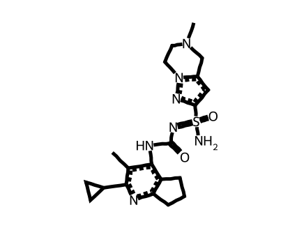 Cc1c(C2CC2)nc2c(c1NC(=O)N=S(N)(=O)c1cc3n(n1)CCN(C)C3)CCC2